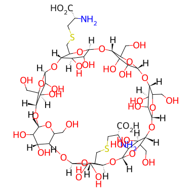 N[C@H](CSCC1O[C@@H]2O[C@@H]3C(CO)O[C@@H](O[C@@H]4C(CO)O[C@@H](O[C@@H]5C(CSC[C@@H](N)C(=O)O)O[C@@H](O[C@@H]6C(CO)O[C@H](O[C@@H]7C(CO)O[C@H](O[C@@H]8C(CO)O[C@H](O[C@H]1[C@H](O)C2O)C(O)[C@H]8O)C(O)[C@H]7O)C(O)C6O)C(O)[C@H]5O)C(O)[C@H]4O)C(O)[C@H]3O)C(=O)O